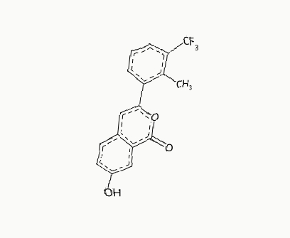 Cc1c(-c2cc3ccc(O)cc3c(=O)o2)cccc1C(F)(F)F